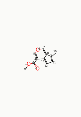 COC(=O)c1cocc2c(C)ccc1-2